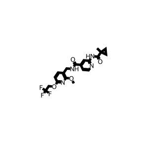 COc1nc(OCC(F)(F)F)ccc1CNC(=O)c1ccnc(NC(=O)C2(C)CC2)c1